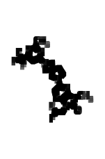 Cc1nc(N2CC3(CCN(c4cnc5c(n4)n(C)c(=O)n5CC(F)F)C3)C2)cc(C(F)(F)F)n1